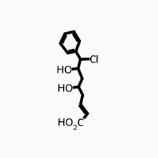 O=C(O)C=CCC(O)CC(O)C(Cl)c1ccccc1